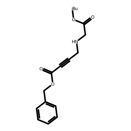 CCC(C)OC(=O)CNCC#CC(=O)OCc1ccccc1